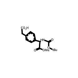 COC(=O)C(NC(=O)OC(C)(C)C)c1ccc(CC(=O)O)cc1